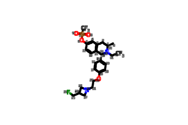 C[C@@H]1Cc2cc(OS(=O)(=O)C(F)(F)F)ccc2[C@@H](c2ccc(OCCN3CC(CF)C3)cc2)N1CC(F)(F)F